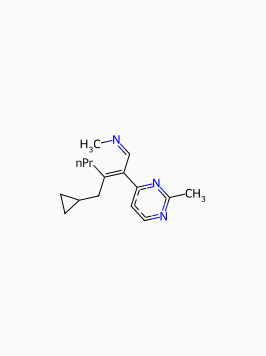 CCC/C(CC1CC1)=C(\C=N/C)c1ccnc(C)n1